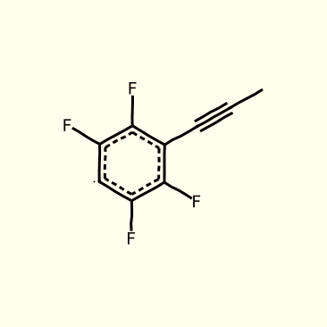 CC#Cc1c(F)c(F)[c]c(F)c1F